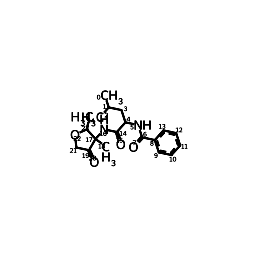 CC(C)CC(NC(=O)c1ccccc1)C(=O)NC1(C)C(=O)COC1C